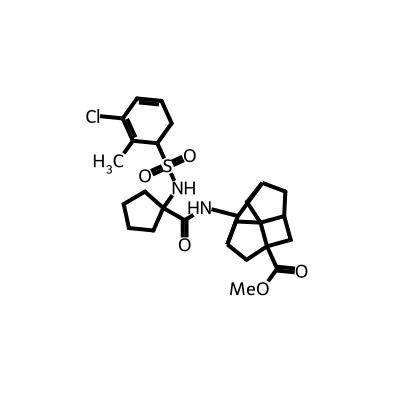 COC(=O)C12CC3CC14CC(CC4C2)C3NC(=O)C1(NS(=O)(=O)C2CC=CC(Cl)=C2C)CCCC1